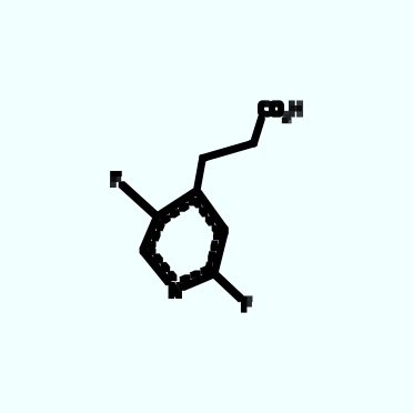 O=C(O)CCc1cc(F)ncc1F